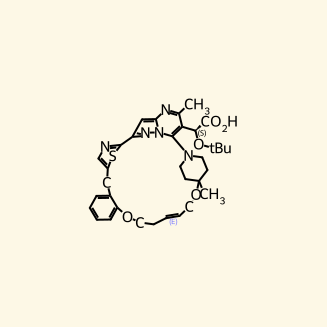 Cc1nc2cc3nn2c(c1[C@H](OC(C)(C)C)C(=O)O)N1CCC(C)(CC1)OC/C=C/CCOc1ccccc1Cc1cnc-3s1